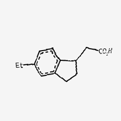 CCc1ccc2c(c1)CCC2CC(=O)O